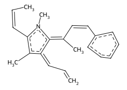 C=C/C=c1/c(C)c(/C=C\C)n(C)/c1=C(C)\C=C/c1ccccc1